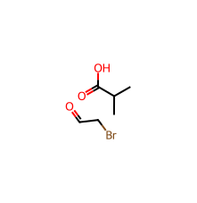 CC(C)C(=O)O.O=CCBr